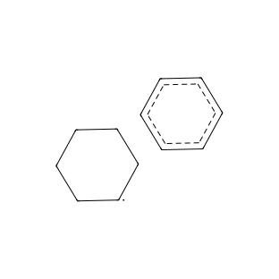 [CH]1CCCCC1.c1ccccc1